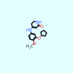 COc1ccc(NC2=CC(=O)NCC2)cc1OC1CCCC1